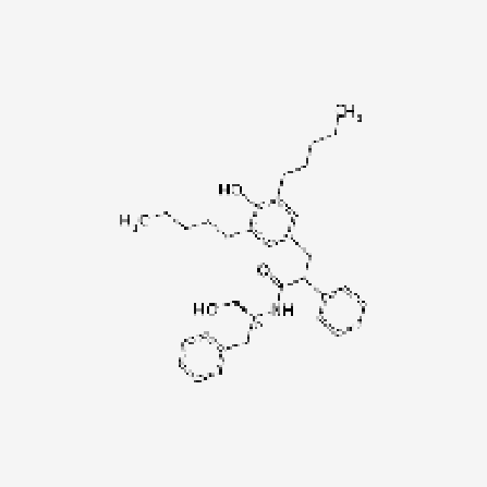 CCCCCc1cc(CC(C(=O)N[C@H](CO)Cc2ccccc2)c2ccccc2)cc(CCCCC)c1O